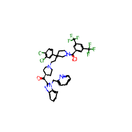 O=C(c1nc2ccccc2n1Cc1ccccn1)C1CCN(CCC2(c3ccc(Cl)c(Cl)c3)CCN(C(=O)c3cc(C(F)(F)F)cc(C(F)(F)F)c3)C2)CC1